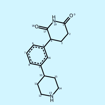 O=C1CCC(c2cccc(C3CCNCC3)c2)C(=O)N1